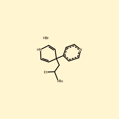 Br.CCCCC(CC)CC1(c2ccncc2)C=CNC=C1